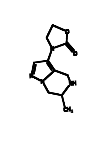 CC1Cn2ncc(N3CCOC3=O)c2CN1